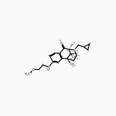 COCCNc1ccc2c(c1)[C@@]1(C)CCN(CC3CC3)[C@H](C2=O)[C@@H]1C